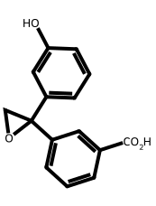 O=C(O)c1cccc(C2(c3cccc(O)c3)CO2)c1